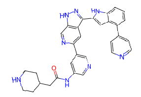 O=C(CC1CCNCC1)Nc1cncc(-c2cc3c(-c4cc5c(-c6ccncc6)cccc5[nH]4)n[nH]c3cn2)c1